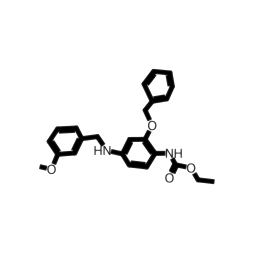 CCOC(=O)Nc1ccc(NCc2cccc(OC)c2)cc1OCc1ccccc1